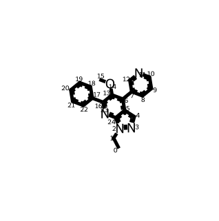 CCn1ncc2c(-c3cccnc3)c(OC)c(-c3ccccc3)nc21